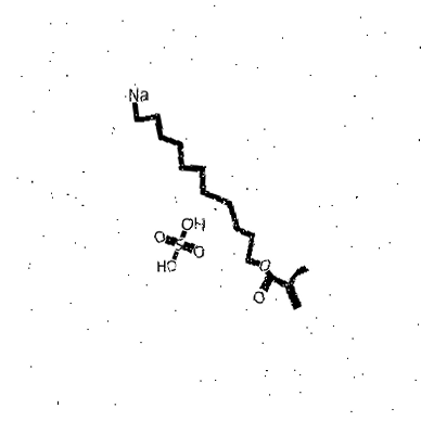 C=C(C)C(=O)OCCCCCCCCCC[CH2][Na].O=S(=O)(O)O